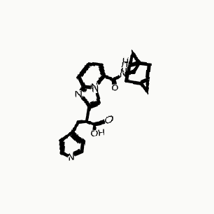 O=C(NCC12CC3CC3CC1C2)c1cccc2nc(C(Cc3ccncc3)C(=O)O)cn12